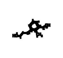 Cc1c(SCCO)ccnc1CO